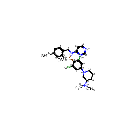 COc1ccc(CN(Sc2c(F)cc(N3CCCC(N(C)C)C3)cc2F)c2ccncn2)c(OC)c1